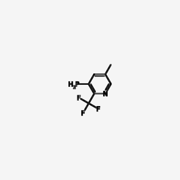 Cc1cnc(C(F)(F)F)c(P)c1